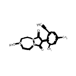 C#Cc1cc(C)cc(C)c1C1C(=O)N2CCN(OC)CCN2C1=O